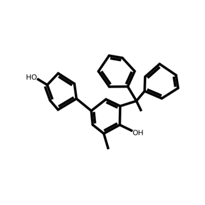 Cc1cc(-c2ccc(O)cc2)cc(C(C)(c2ccccc2)c2ccccc2)c1O